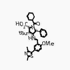 COc1ccc(-c2sc(C)nc2C)cc1CN[C@H]1[C@H](C(C)(C)C)[C@@H](C(=O)O)N(C(=O)C2CCCCC2)[C@H]1c1ccccc1